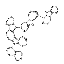 c1ccc2c(-n3c4ccccc4c4c3ccc3c5ccccc5n(-c5ccc6oc7c(-c8cccc9c8sc8ccccc89)cccc7c6c5)c34)cccc2c1